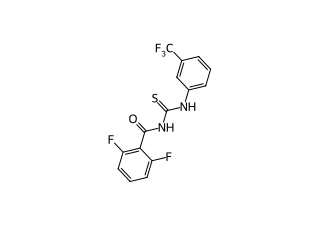 O=C(NC(=S)Nc1cccc(C(F)(F)F)c1)c1c(F)cccc1F